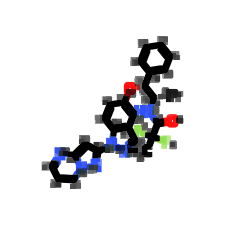 CC(C)[C@H](NC(=O)C(C)(F)F)[C@H](Oc1ccc2c(cnn2-c2cc3ncccn3n2)c1)c1ccccc1